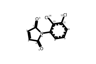 O=C1C=CC(=O)N1c1cccc(Cl)c1Cl